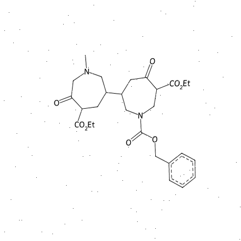 CCOC(=O)C1CC(C2CC(=O)C(C(=O)OCC)CN(C(=O)OCc3ccccc3)C2)CN(C)CC1=O